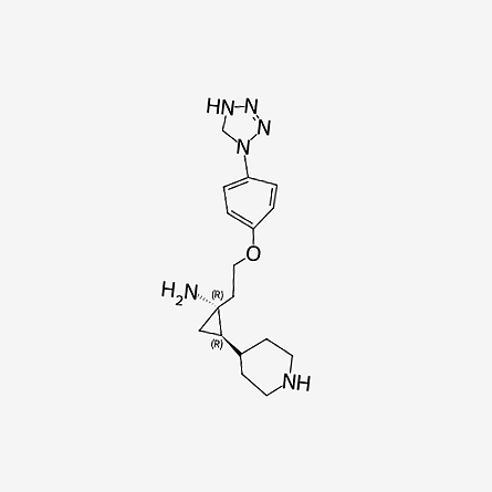 N[C@@]1(CCOc2ccc(N3CNN=N3)cc2)C[C@@H]1C1CCNCC1